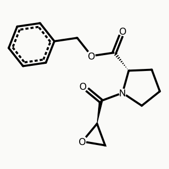 O=C(OCc1ccccc1)[C@@H]1CCCN1C(=O)[C@H]1CO1